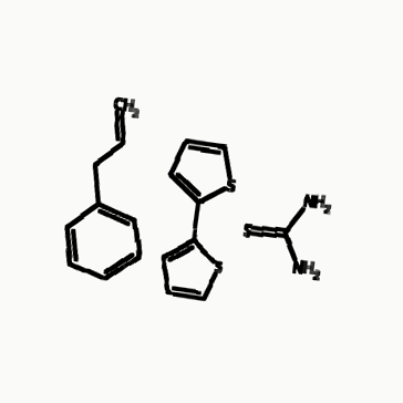 C=CCc1ccccc1.NC(N)=S.c1csc(-c2cccs2)c1